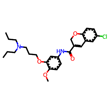 CCCN(CCC)CCCOc1cc(NC(=O)C2=Cc3cc(Cl)ccc3OC2)ccc1OC